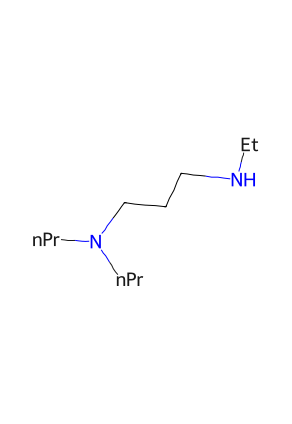 CCCN(CCC)CCCNCC